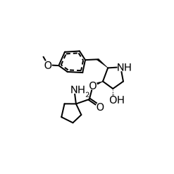 COc1ccc(C[C@H]2NC[C@H](O)[C@H]2OC(=O)C2(N)CCCC2)cc1